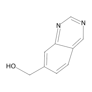 OCc1ccc2cncnc2c1